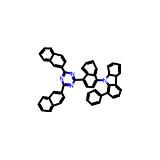 C1=CC2c3cccc(-c4ccccc4)c3N(c3ccc(-c4nc(-c5ccc6ccccc6c5)nc(-c5ccc6ccccc6c5)n4)c4ccccc34)C2C=C1